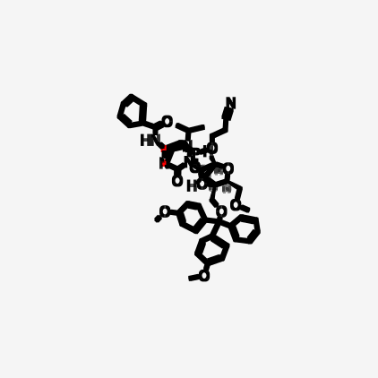 COC[C@@H]1O[C@H]2[C@H](n3ccc(NC(=O)c4ccccc4)nc3=O)O[C@]1(COC(c1ccccc1)(c1ccc(OC)cc1)c1ccc(OC)cc1)[C@H]2OP(OCCC#N)N(C(C)C)C(C)C